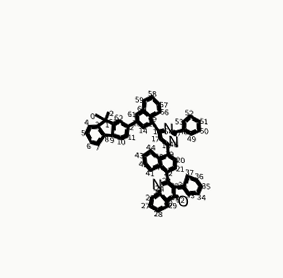 CC1(C)c2ccccc2-c2ccc(-c3cc(-c4cc(-c5ccc(-c6nc7ccccc7c7oc8ccccc8c67)c6ccccc56)nc(-c5ccccc5)n4)c4ccccc4c3)cc21